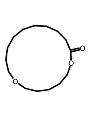 O=C1CCCCCCCCCOCCCCCO1